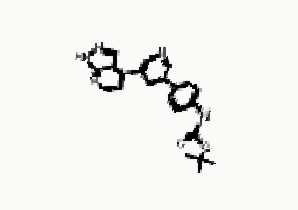 CC(C)(C)OC(=O)Nc1ccc(-c2cncc(-c3ccnc4[nH]ncc34)c2)cc1